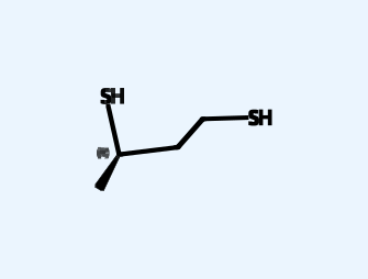 C[C@@H](S)CCS